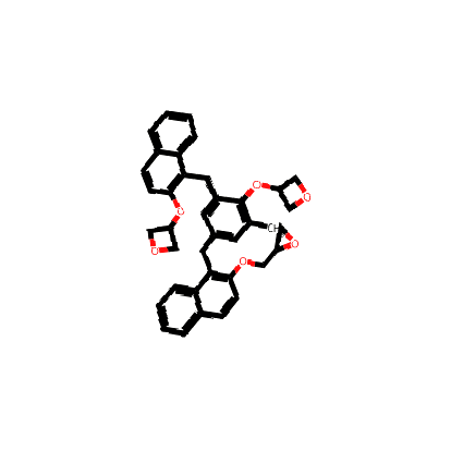 Cc1cc(Cc2c(OCC3CO3)ccc3ccccc23)cc(Cc2c(OC3COC3)ccc3ccccc23)c1OC1COC1